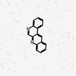 c1ccc2nc3cnc4ccccc4c3cc2c1